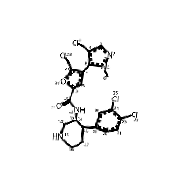 Cn1ncc(Cl)c1-c1cc(C(=O)N[C@@H]2CNCCC2c2ccc(Cl)c(Cl)c2)oc1Cl